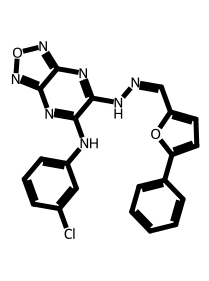 Clc1cccc(Nc2nc3nonc3nc2N/N=C\c2ccc(-c3ccccc3)o2)c1